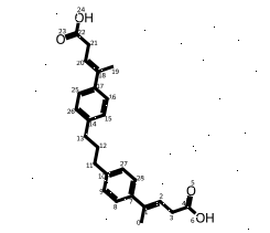 CC(=CCC(=O)O)c1ccc(CCCc2ccc(C(C)=CCC(=O)O)cc2)cc1